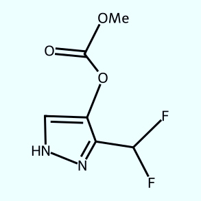 COC(=O)Oc1c[nH]nc1C(F)F